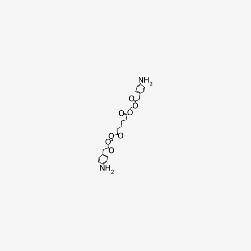 Nc1ccc(CC(=O)OCOC(=O)CCCCC(=O)OCOC(=O)Cc2ccc(N)cc2)cc1